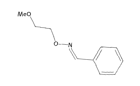 COCCON=Cc1ccccc1